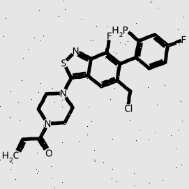 C=CC(=O)N1CCN(c2snc3c(F)c(-c4ccc(F)cc4P)c(CCl)cc23)CC1